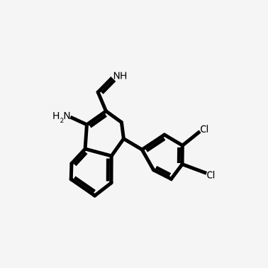 N=CC1=C(N)c2ccccc2C(c2ccc(Cl)c(Cl)c2)C1